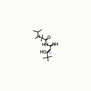 CC(C)N(C)C(C)(C)C(=O)NC(=N)/C=C(\O)C(C)(C)C